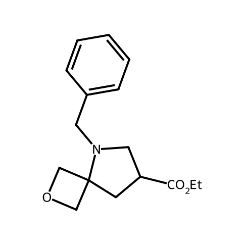 CCOC(=O)C1CN(Cc2ccccc2)C2(COC2)C1